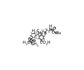 Cc1c(-c2cccc(S(=O)(=O)N(C)C)c2)c2cc(C(=O)O)ccc2n1CC(F)=CCNC(=O)OC(C)(C)C